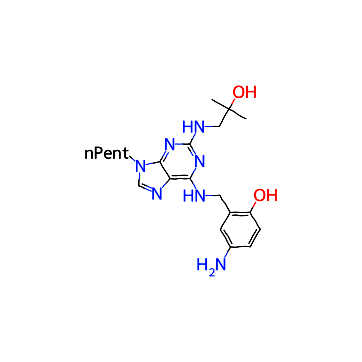 CCCCCn1cnc2c(NCc3cc(N)ccc3O)nc(NCC(C)(C)O)nc21